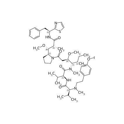 CC[C@H](C)[C@@H]([C@@H](CC(=O)N1CCC[C@H]1[C@H](OC)[C@@H](C)C(=O)N[C@@H](Cc1ccccc1)c1nccs1)OC)N(C)C(=O)[C@@H](NC(=O)[C@H](C(C)C)N(C)CCc1ccc(OI)cc1)C(C)C